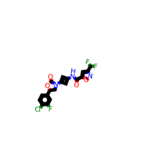 O=C(NC12CC(N3CC(c4ccc(Cl)c(F)c4)OC3=O)(C1)C2)c1cc(C(F)F)no1